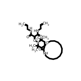 C=CCNC(=O)C(ON1C(C)(C)CC2(CC1(C)C)OCCCCCCCCCCCNC2=O)C(=O)NCC=C